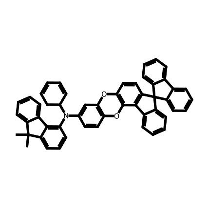 CC1(C)c2ccccc2-c2c(N(c3ccc4c(c3)Oc3ccc5c(c3O4)-c3ccccc3C53c4ccccc4-c4ccccc43)C3C=CC=CC3)cccc21